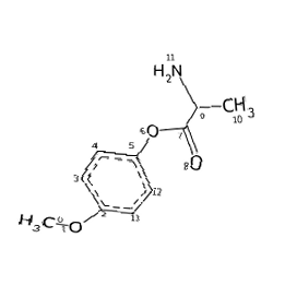 COc1ccc(OC(=O)C(C)N)cc1